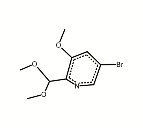 COc1cc(Br)cnc1C(OC)OC